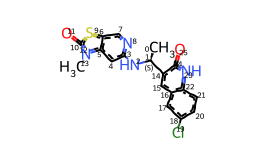 C[C@H](Nc1cc2c(cn1)sc(=O)n2C)c1cc2cc(Cl)ccc2[nH]c1=O